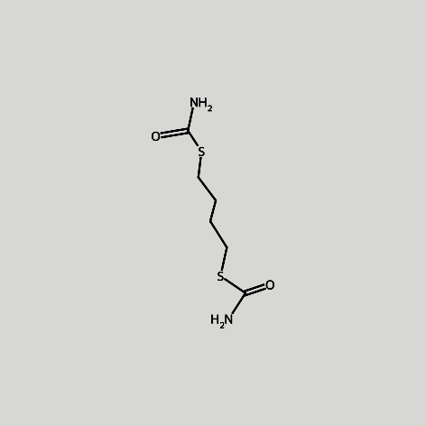 NC(=O)SCCCCSC(N)=O